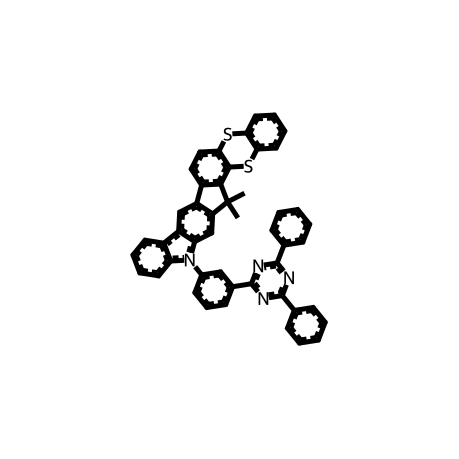 CC1(C)c2cc3c(cc2-c2ccc4c(c21)Sc1ccccc1S4)c1ccccc1n3-c1cccc(-c2nc(-c3ccccc3)nc(-c3ccccc3)n2)c1